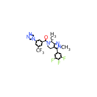 C[C@H]1c2nn(C)c(-c3cc(F)c(F)c(F)c3)c2CCN1C(=O)c1cc(-n2cnnc2)cc(C(F)(F)F)c1